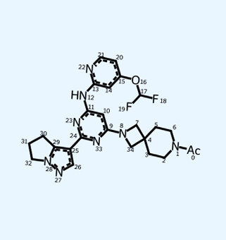 CC(=O)N1CCC2(CC1)CN(c1cc(Nc3cc(OC(F)F)ccn3)nc(-c3cnn4c3CCC4)n1)C2